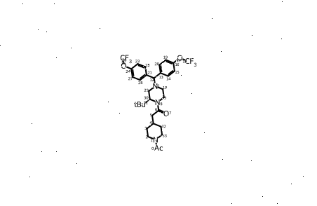 CC(=O)N1CCC(CC(=O)N2CCN(C(c3ccc(OC(F)(F)F)cc3)c3ccc(OC(F)(F)F)cc3)C[C@@H]2C(C)(C)C)CC1